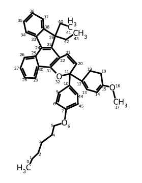 CCCCCCOc1ccc(C2(C3=CC=C(OC)CC3)C=Cc3c4c(c5ccccc5c3O2)-c2ccccc2C4(CC)CC)cc1